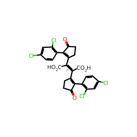 O=C1CCC(/C(C(=O)O)=C(\C(=O)O)C2=C(c3ccc(Cl)cc3Cl)C(=O)CC2)=C1c1ccc(Cl)cc1Cl